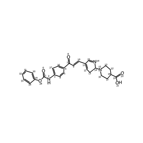 O=C(Nc1ccc(C(=O)C=CC2=CCC(N3CCC(C(=O)O)CC3)N=C2)cc1)Oc1ccccc1